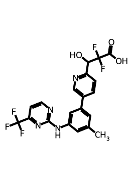 Cc1cc(Nc2nccc(C(F)(F)F)n2)cc(-c2ccc(C(O)C(F)(F)C(=O)O)nc2)c1